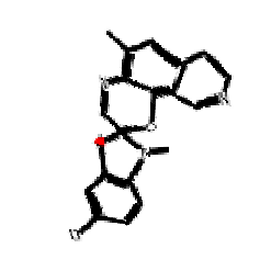 Cc1cc2ccncc2c2c1N=CC1(O2)N(C)c2ccc(Cl)cc2C12CCCC2